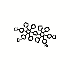 Clc1ccc(-c2c(-c3ccccc3)c(-c3ccccc3)c(-c3ccc(-c4c(-c5ccccc5)c(-c5ccccc5)c(-c5ccc(Cl)cc5)c(-c5ccc(Br)cc5)c4-c4ccccc4)cc3)c(-c3ccccc3)c2-c2ccc(Br)cc2)cc1